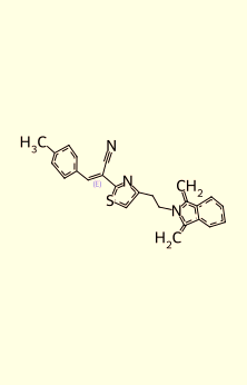 C=c1c2ccccc2c(=C)n1CCc1csc(/C(C#N)=C/c2ccc(C)cc2)n1